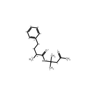 CC(=O)CC(C)(C)NC(=O)C(C)CCc1ccccc1